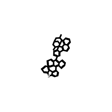 CC1CC2CC(C)C3(c4ccc(-c5c6ccccc6c(-c6cccc7sc8ccccc8c67)c6ccccc56)cc4-c4ccc5ccccc5c43)C(C1)C2